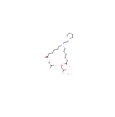 CCCCCCCCC(CCCCCC)COC(=O)CCCCCN(CCCCCC(=O)OCC(CCCCCCC)CCCCCCCC)CCN1CCCC1